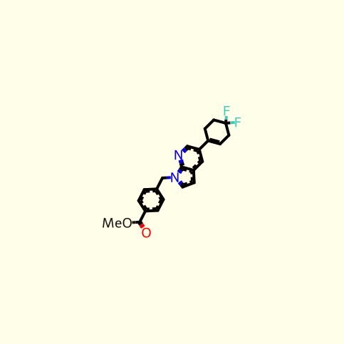 COC(=O)c1ccc(Cn2ccc3cc(C4=CCC(F)(F)CC4)cnc32)cc1